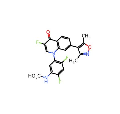 Cc1noc(C)c1-c1ccc2c(=O)c(F)cn(-c3cc(NC(=O)O)c(F)cc3F)c2c1